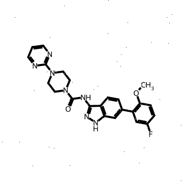 COc1ccc(F)cc1-c1ccc2c(NC(=O)N3CCN(c4ncccn4)CC3)n[nH]c2c1